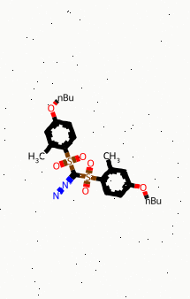 CCCCOc1ccc(S(=O)(=O)C(=[N+]=[N-])S(=O)(=O)c2ccc(OCCCC)cc2C)c(C)c1